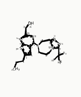 CCCc1cc2c(N3CCn4c(nnc4C(F)(F)F)C3)nc(CO)nc2s1